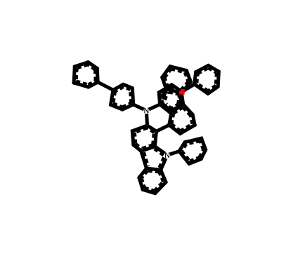 c1ccc(-c2ccc(N(c3ccc(-c4ccccc4)cc3)c3ccc4c5ccccc5n(-c5ccccc5)c4c3-c3cccc4c3oc3ccccc34)cc2)cc1